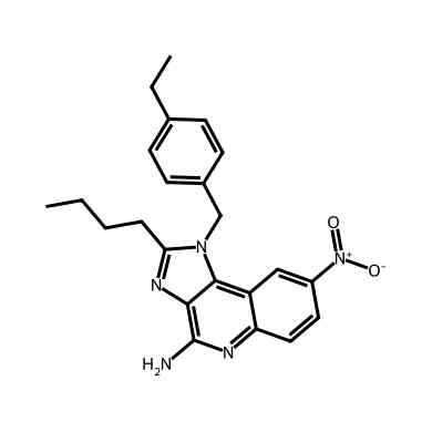 CCCCc1nc2c(N)nc3ccc([N+](=O)[O-])cc3c2n1Cc1ccc(CC)cc1